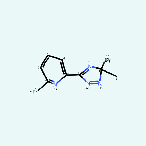 CCCc1cccc(C2=NC(C)(C(C)C)N=N2)n1